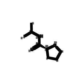 CC(I)NC(=O)[C@H]1CCCO1